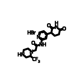 Br.O=C1CCC(c2ccnc(NC(=O)CN3CCNCC3C(F)(F)F)c2)C(=O)N1